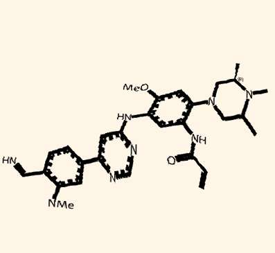 C=CC(=O)Nc1cc(Nc2cc(-c3ccc(C=N)c(NC)c3)ncn2)c(OC)cc1N1CC(C)N(C)[C@H](C)C1